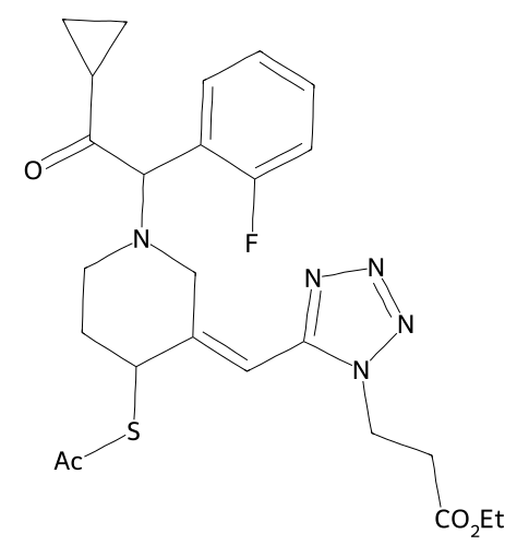 CCOC(=O)CCn1nnnc1/C=C1\CN(C(C(=O)C2CC2)c2ccccc2F)CCC1SC(C)=O